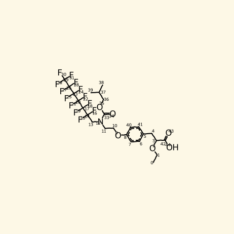 CCOC(Cc1ccc(OCCN(CC(F)(F)C(F)(F)C(F)(F)C(F)(F)C(F)(F)C(F)(F)F)C(=O)OCC(C)C)cc1)C(=O)O